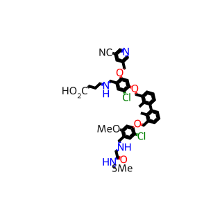 COc1cc(OCc2cccc(-c3cccc(COc4cc(OCc5cncc(C#N)c5)c(CNCCCC(=O)O)cc4Cl)c3C)c2C)c(Cl)cc1CNCC(=O)NSC